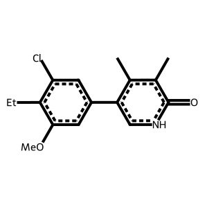 CCc1c(Cl)cc(-c2c[nH]c(=O)c(C)c2C)cc1OC